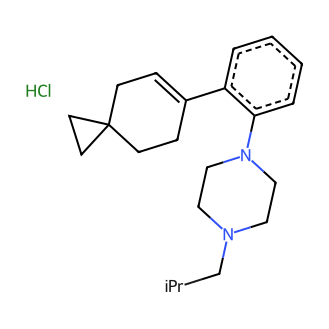 CC(C)CN1CCN(c2ccccc2C2=CCC3(CC2)CC3)CC1.Cl